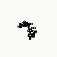 O=C1C=CN([C@@H]2O[C@H](COP(=O)(O)OP(=O)(O)OP(=O)(O)O)[C@@H](O)[C@H]2O)[S+]([O-])N1